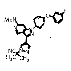 CNc1cc2c(cn1)c(-c1cnn(C(C)(C)C#N)c1)nn2[C@H]1CC[C@@H](Oc2cccc(F)c2)CC1